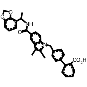 Cc1c(C)n(Cc2ccc(-c3ccccc3C(=O)O)cc2)c2ccc(C(=O)NC(C)c3cccc4c3OCO4)cc12